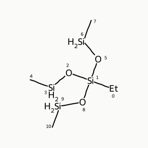 CC[Si](O[SiH2]C)(O[SiH2]C)O[SiH2]C